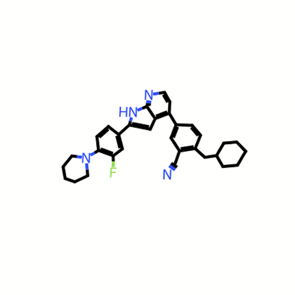 N#Cc1cc(-c2ccnc3[nH]c(-c4ccc(N5CCCCC5)c(F)c4)cc23)ccc1CC1CCCCC1